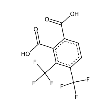 O=C(O)c1ccc(C(F)(F)F)c(C(F)(F)F)c1C(=O)O